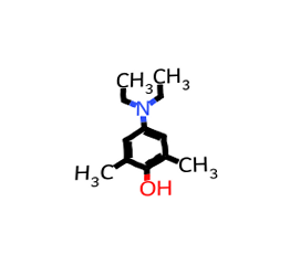 CCN(CC)c1cc(C)c(O)c(C)c1